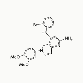 COc1ccc(N2C=Cc3nc(N)cc(Nc4ccccc4Br)c3C2)cc1OC